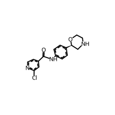 O=C(Nc1ccc([C@@H]2CNCCO2)cc1)c1ccnc(Cl)c1